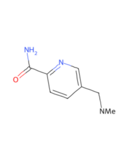 CNCc1ccc(C(N)=O)nc1